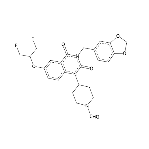 O=CN1CCC(n2c(=O)n(Cc3ccc4c(c3)OCO4)c(=O)c3cc(OC(CF)CF)ccc32)CC1